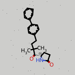 CC(C)(CCc1ccc(-c2ccccc2)cc1)C(=O)[C@@H]1CCC(=O)N1